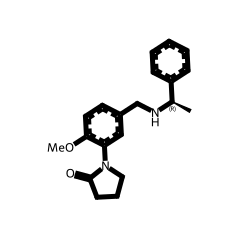 COc1ccc(CN[C@H](C)c2ccccc2)cc1N1CCCC1=O